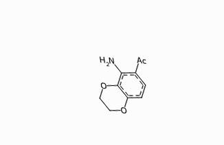 CC(=O)c1ccc2c(c1N)OCCO2